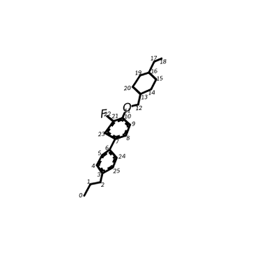 CCCc1ccc(-c2ccc(OCC3CCC(CC)CC3)c(F)c2)cc1